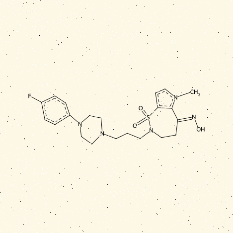 Cn1ccc2c1C(=NO)CCN(CCCN1CCN(c3ccc(F)cc3)CC1)S2(=O)=O